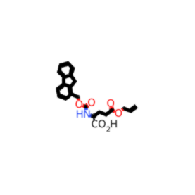 C=CCOC(=O)CC[C@H](NC(=O)OCc1cccc2c1Cc1ccccc1-2)C(=O)O